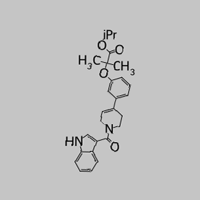 CC(C)OC(=O)C(C)(C)Oc1cccc(C2=CCN(C(=O)c3c[nH]c4ccccc34)CC2)c1